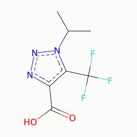 CC(C)n1nnc(C(=O)O)c1C(F)(F)F